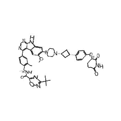 COc1cc2c(cc1N1CCN([C@H]3C[C@@H](c4ccc(O[C@@H]5CCC(=O)NC5=O)cc4)C3)CC1)[nH]c1ncnc(-c3ccc([C@@H](C)NC(=O)c4nc(C(C)(C)C)no4)c(C)c3)c12